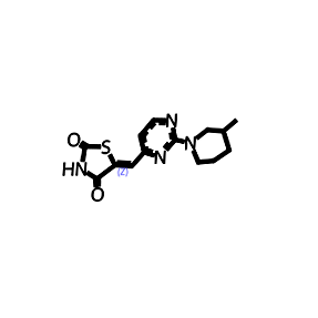 CC1CCCN(c2nccc(/C=C3\SC(=O)NC3=O)n2)C1